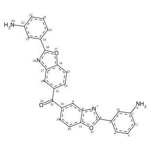 Nc1cccc(-c2nc3cc(C(=O)c4ccc5oc(-c6cccc(N)c6)nc5c4)ccc3o2)c1